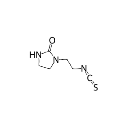 O=C1NCCN1CCN=C=S